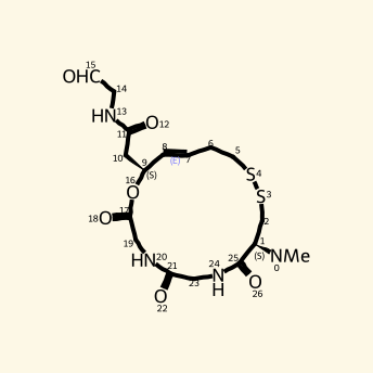 CN[C@@H]1CSSCC/C=C/[C@H](CC(=O)NCC=O)OC(=O)CNC(=O)CNC1=O